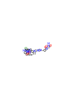 CCc1cc(Nc2ncc(Cl)c(Nc3cccc(OC)c3NS(C)(=O)=O)n2)c(OC)cc1N1CCC(N2CCN(CCc3ccc4c(c3)C(=O)N(C3CCC(=O)NC3=O)C4)CC2)CC1